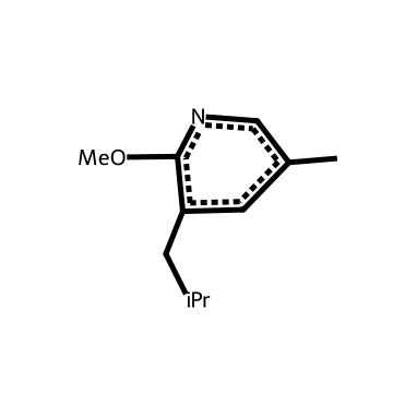 COc1ncc(C)cc1CC(C)C